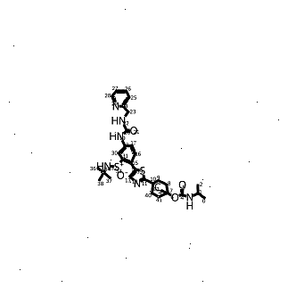 CC(C)NC(=O)OC12CCC(c3ncc(-c4ccc(NC(=O)NCc5ccccn5)cc4[S+]([O-])NC(C)(C)C)s3)(CC1)CC2